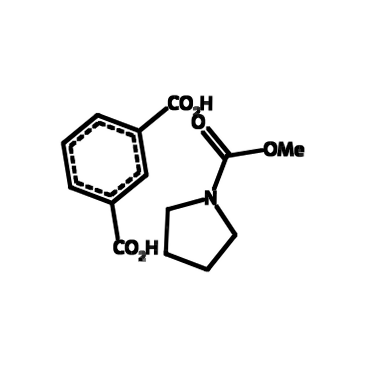 COC(=O)N1CCCC1.O=C(O)c1cccc(C(=O)O)c1